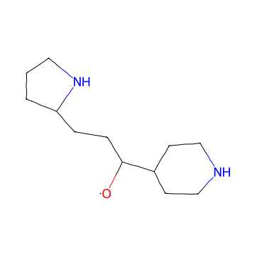 [O]C(CCC1CCCN1)C1CCNCC1